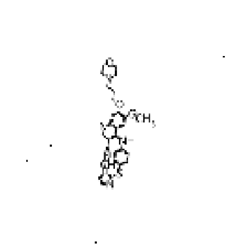 COc1cc2c(Nc3ccc(Sc4nccn4C)cc3)c(C#N)cnc2cc1OCCCN1CCOCC1